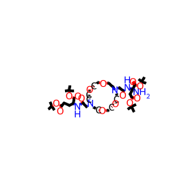 CC(C)(C)OC(=O)CCC(NC(=O)CN1CCOCCOCCN(CC(=O)N[C@](N)(CC(=O)OC(C)(C)C)C(=O)OC(C)(C)C)CCOCCOCC1)C(=O)OC(C)(C)C